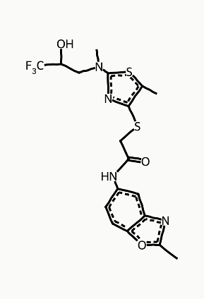 Cc1nc2cc(NC(=O)CSc3nc(N(C)CC(O)C(F)(F)F)sc3C)ccc2o1